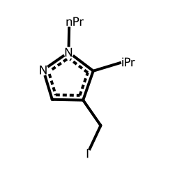 CCCn1ncc(CI)c1C(C)C